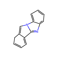 C1=CCc2cn3c(nc4ccccc43)c2=C1